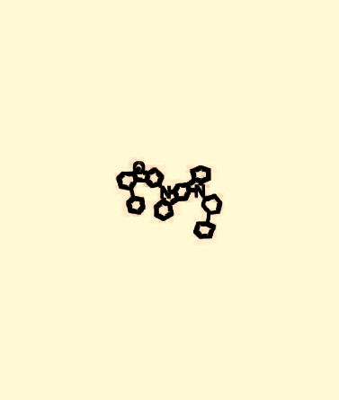 C1=CC(c2ccccc2)CC(n2c3ccccc3c3cc4c(cc32)c2ccccc2n4-c2ccc3oc4cccc(-c5ccccc5)c4c3c2)=C1